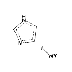 CCCI.c1c[nH]cn1